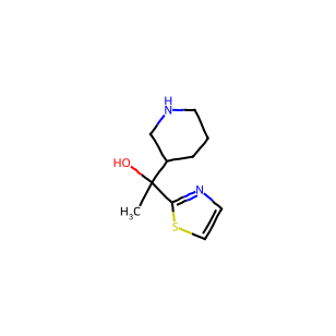 CC(O)(c1nccs1)C1CCCNC1